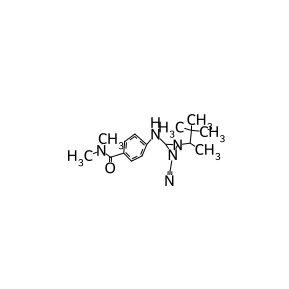 CC(N1C(Nc2ccc(C(=O)N(C)C)cc2)N1C#N)C(C)(C)C